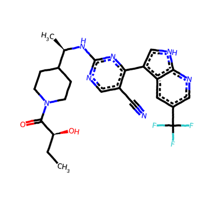 CC[C@H](O)C(=O)N1CCC([C@@H](C)Nc2ncc(C#N)c(-c3c[nH]c4ncc(C(F)(F)F)cc34)n2)CC1